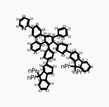 CCCC1(CCC)c2ccccc2-c2ccc(-c3ccc(-c4c(-c5ccccc5)cc(-c5ccc(-c6ccccn6)cc5)c(-c5ccccc5)c4-c4ccc(-c5ccc6c(c5)C(CCC)(CCC)c5ccccc5-6)cc4)cc3)cc21